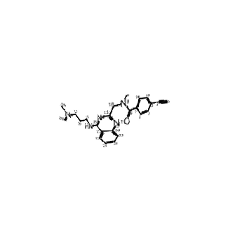 C#Cc1ccc(C(=O)N(C)Cc2nc(NCCCN(C)C)c3ccccc3n2)cc1